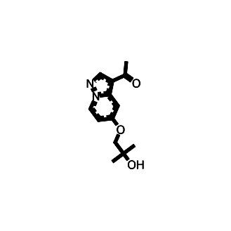 CC(=O)c1cnn2ccc(OCC(C)(C)O)cc12